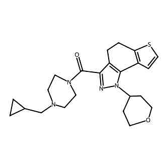 O=C(c1nn(C2CCOCC2)c2c1CCc1sccc1-2)N1CCN(CC2CC2)CC1